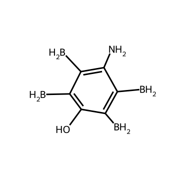 Bc1c(B)c(O)c(B)c(B)c1N